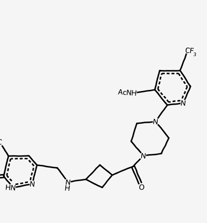 CC(=O)Nc1cc(C(F)(F)F)cnc1N1CCN(C(=O)C2CC(NCc3cc(C(F)(F)F)c(=O)[nH]n3)C2)CC1